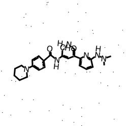 CN(C)Nc1cccc(C(/C=C(\C=O)NC(=O)c2ccc(N3CCCCC3)cc2)=C/N)n1